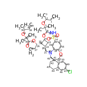 C=CC(C)OC(C)(C)C(=O)NS(=O)(=O)c1ccc2c(c1)N(C[C@@H]1CC[C@H]1C(C=C)OC(=O)C(C)(C)OC(C)C=C)C[C@@]1(CCCc3cc(Cl)ccc31)CO2